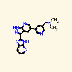 CN(C)Cc1cncc(-c2cnc3[nH]nc(-c4nc5cccnc5[nH]4)c3c2)c1